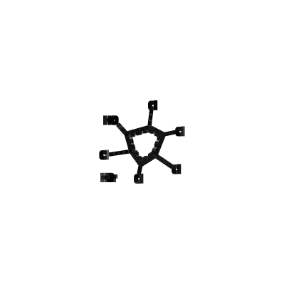 Br.Oc1c(Cl)c(Cl)c(Cl)c(Cl)c1Cl